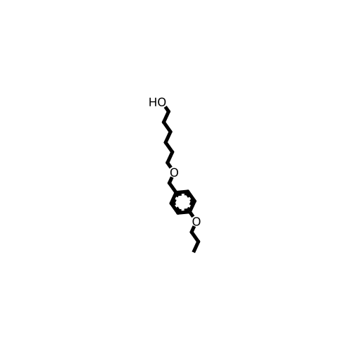 CCCOc1ccc(COCCCCCCO)cc1